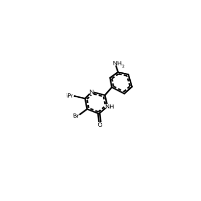 CC(C)c1nc(-c2cccc(N)c2)[nH]c(=O)c1Br